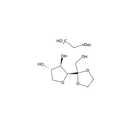 CCCCCCCCCCCC(=O)O.OCC1([C@H]2OC[C@H](O)[C@H]2O)OCCO1